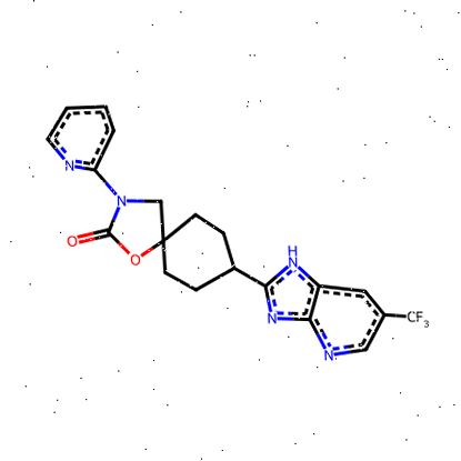 O=C1OC2(CCC(c3nc4ncc(C(F)(F)F)cc4[nH]3)CC2)CN1c1ccccn1